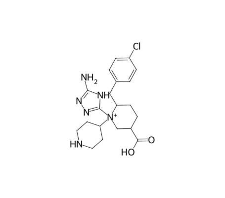 Nc1nnc([N+]2(C3CCNCC3)CC(C(=O)O)CCC2Cc2ccc(Cl)cc2)[nH]1